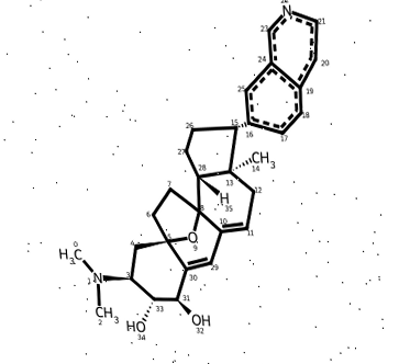 CN(C)[C@H]1C[C@@]23CCC4(O2)C(=CC[C@]2(C)[C@@H](c5ccc6ccncc6c5)CC[C@@H]42)C=C3[C@@H](O)[C@@H]1O